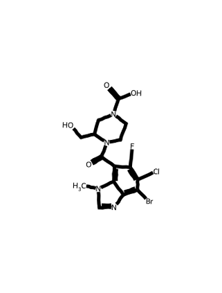 Cn1cnc2c(Br)c(Cl)c(F)c(C(=O)N3CCN(C(=O)O)CC3CO)c21